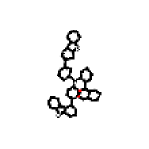 c1cc(-c2ccc3c(c2)sc2ccccc23)cc(N(c2ccc(-c3cccc4oc5ccccc5c34)cc2)c2ccccc2-c2cccc3ccccc23)c1